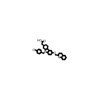 O=C(O)CC1CCc2c(n(Cc3ccc(Cl)cc3)c3ccc(OCc4ccc5ccccc5n4)cc23)C1